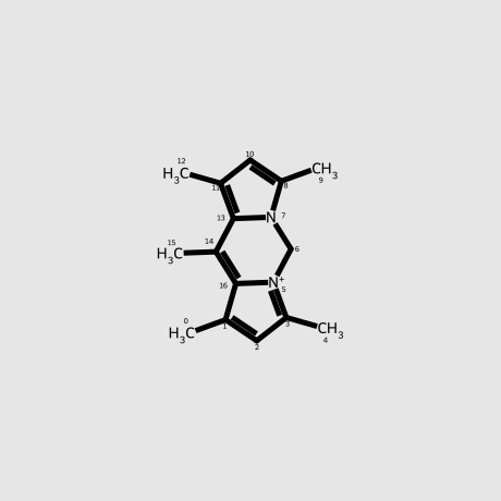 CC1=CC(C)=[N+]2Cn3c(C)cc(C)c3C(C)=C12